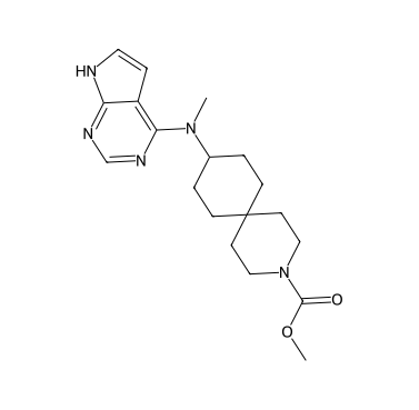 COC(=O)N1CCC2(CCC(N(C)c3ncnc4[nH]ccc34)CC2)CC1